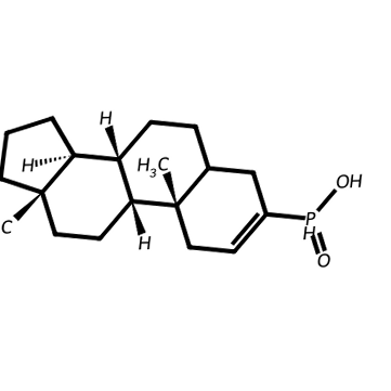 C[C@@]12CCC[C@H]1[C@@H]1CCC3CC([PH](=O)O)=CC[C@]3(C)[C@@H]1CC2